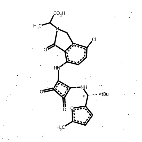 Cc1ccc([C@H](Nc2c(Nc3ccc(Cl)c4c3C(=O)N(C(C)C(=O)O)C4)c(=O)c2=O)C(C)(C)C)o1